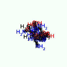 CC(C)C(=O)N[C@@H](CCCCN)C(=O)N[C@@H](Cc1cn(CCP(=O)(O)O)nn1)C(=O)N[C@@H](C)C(=O)N[C@@H](CCCCN)C(=O)N[C@@H](Cc1cn(CCP(=O)(O)O)nn1)C(=O)N[C@@H](C)C(=O)N[C@@H](CCCCN)C(=O)O